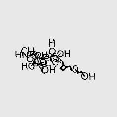 CNC(=O)O[C@@H]1[C@H](O)[C@@H](O[C@@H]2C(C)O[C@@H](CC3CCC3CCOCCO)[C@@H](O)[C@@H]2O)O[C@H](CO)[C@H]1O